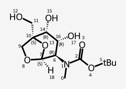 CN(C(=O)OC(C)(C)C)[C@H]1[C@H]2OC[C@](CO)(O2)[C@H](O)[C@@H]1O